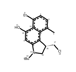 CCc1ccc(C)c2c3c(cc(O)c12)N(C(C)(C)C)C[C@H]3CCl